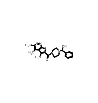 Cc1nnc2sc(C(=O)N3CCN(C(O)c4ccccc4)CC3)c(N)c2c1C